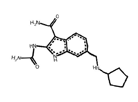 NC(=O)Nc1[nH]c2cc(CNC3CCCC3)ccc2c1C(N)=O